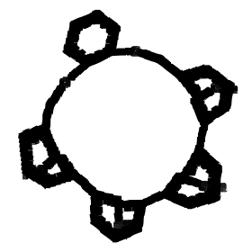 COc1c2cccc1-c1cccc(c1OC)-c1cccc(c1OC)-c1cccc(c1OC)COc1ccccc1OC2